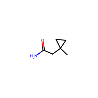 CC1(CC(N)=O)CC1